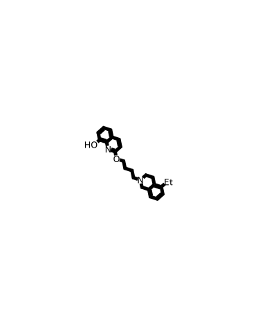 CCc1cccc2c1CCN(CCCCOc1ccc3cccc(O)c3n1)C2